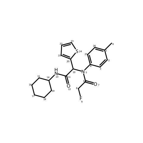 Cc1ccc(N(C(=O)CF)C(C(=O)NC2CCCCC2)c2cccs2)cc1